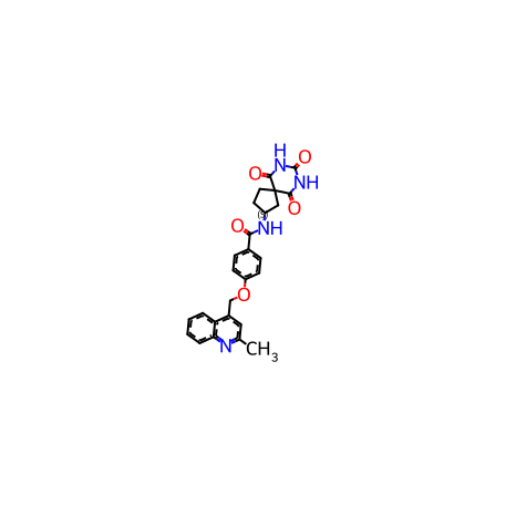 Cc1cc(COc2ccc(C(=O)N[C@H]3CCC4(C3)C(=O)NC(=O)NC4=O)cc2)c2ccccc2n1